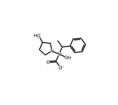 CC(c1ccccc1)[N+](O)(C(=O)[O-])N1CCC(O)C1